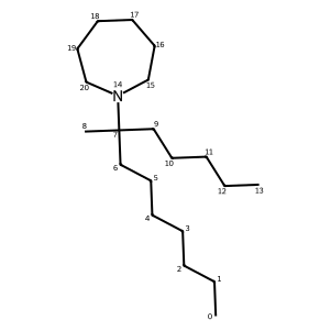 CCCCCCCC(C)(CCCCC)N1CCCCCC1